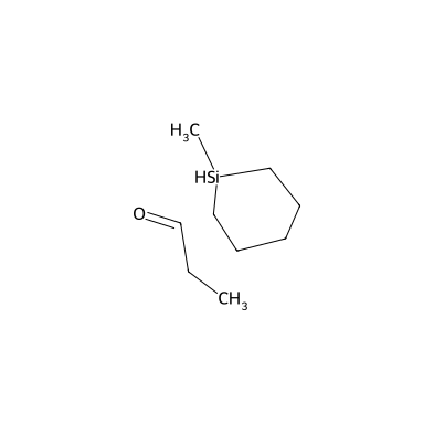 CCC=O.C[SiH]1CCCCC1